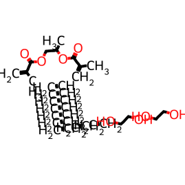 C=C.C=C.C=C.C=C.C=C.C=C.C=C.C=C.C=C.C=C(C)C(=O)OCC(C)OC(=O)C(=C)C.OCCO.OCCO